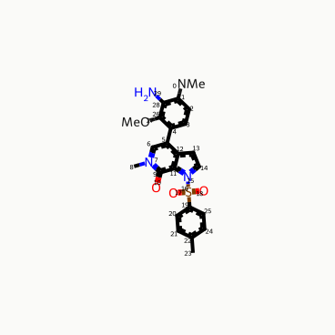 CNc1ccc(-c2cn(C)c(=O)c3c2ccn3S(=O)(=O)c2ccc(C)cc2)c(OC)c1N